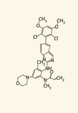 C=CC(=O)N(C)c1cc(N2CCOCC2)cc(C)c1Nc1ncc2cc(-c3c(Cl)c(OC)cc(OC)c3Cl)ccc2n1